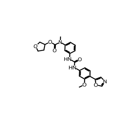 COc1cc(NC(=O)Nc2cccc(N(C)C(=O)OC3CCOC3)c2)ccc1-c1cnco1